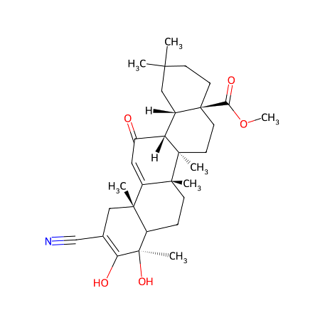 COC(=O)[C@]12CCC(C)(C)C[C@H]1[C@H]1C(=O)C=C3[C@@]4(C)CC(C#N)=C(O)[C@](C)(O)C4CC[C@@]3(C)[C@]1(C)CC2